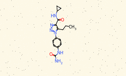 CCCc1c(C(=O)NC2CC2)nnn1-c1ccc(NC(N)=O)cc1